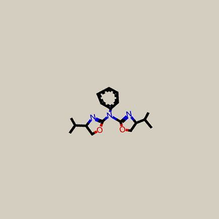 CC(C)C1COC(N(C2=NC(C(C)C)CO2)c2ccccc2)=N1